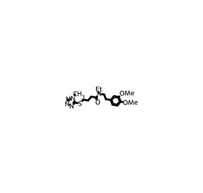 CCN(CCc1ccc(OC)c(OC)c1)C(=O)CCCSc1nnnn1C